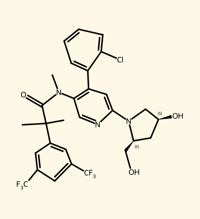 CN(C(=O)C(C)(C)c1cc(C(F)(F)F)cc(C(F)(F)F)c1)c1cnc(N2C[C@@H](O)C[C@H]2CO)cc1-c1ccccc1Cl